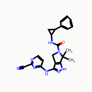 CC1(C)c2[nH]nc(Nc3ccnc(C#N)n3)c2CN1C(=O)NC1CC1c1ccccc1